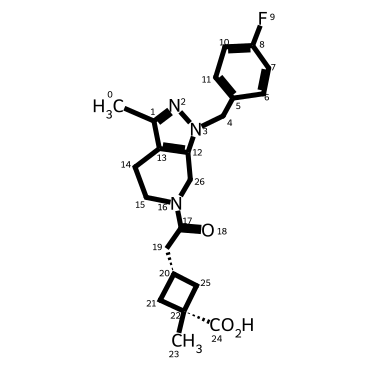 Cc1nn(Cc2ccc(F)cc2)c2c1CCN(C(=O)C[C@H]1C[C@@](C)(C(=O)O)C1)C2